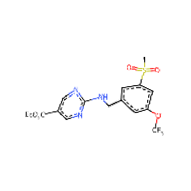 CCOC(=O)c1cnc(NCc2cc(OC(F)(F)F)cc(S(C)(=O)=O)c2)nc1